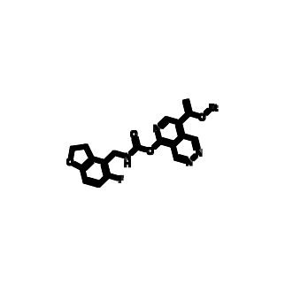 C=C(OCC)c1cnc(OC(=O)NCc2c(F)ccc3c2CCO3)c2cnncc12